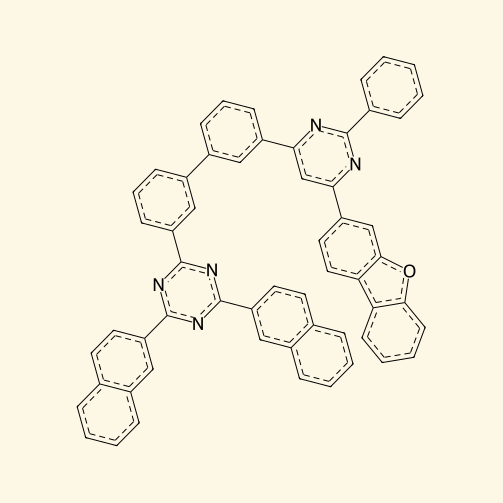 c1ccc(-c2nc(-c3cccc(-c4cccc(-c5nc(-c6ccc7ccccc7c6)nc(-c6ccc7ccccc7c6)n5)c4)c3)cc(-c3ccc4c(c3)oc3ccccc34)n2)cc1